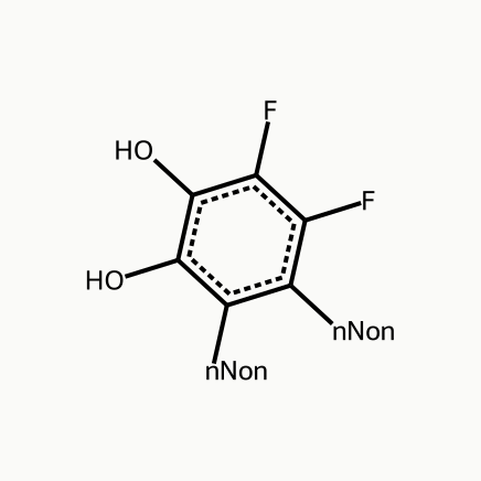 CCCCCCCCCc1c(O)c(O)c(F)c(F)c1CCCCCCCCC